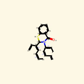 C=C/C=C\C(=C/C)N1C(=O)c2ccccc2SC1/C(C=C)=C/C=C\C